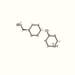 CC(C)(C)C[C@H]1CC[C@H](OC2CCNCC2)CC1